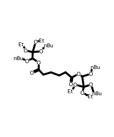 CCCCOC(OC(=O)CCCCC(=O)OC(OCCCC)C(OCC)(OCC)OCCCC)C(OCC)(OCC)OCCCC